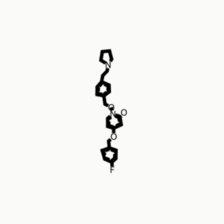 O=c1cc(OCc2ccc(F)cc2)ccn1OCc1ccc(CCN2CCCC2)cc1